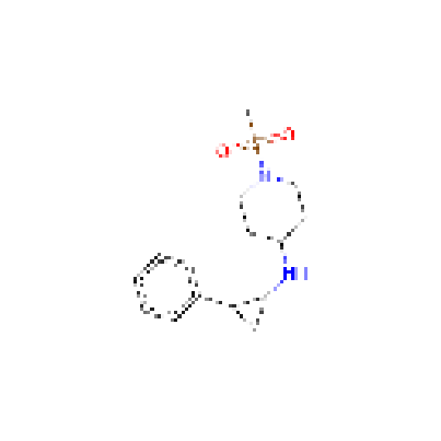 CS(=O)(=O)N1CCC(NC2CC2c2ccccc2)CC1